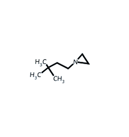 CC(C)(C)CCN1CC1